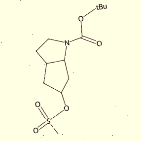 CC(C)(C)OC(=O)N1CCC2CC(OS(C)(=O)=O)CC21